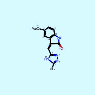 CCc1nnc(/C=C2\C(=O)Nc3ccc(OC)cc32)[nH]1